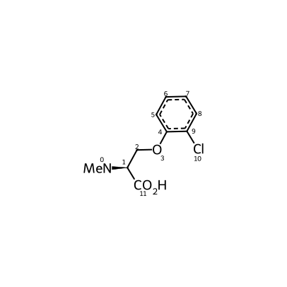 CN[C@@H](COc1ccccc1Cl)C(=O)O